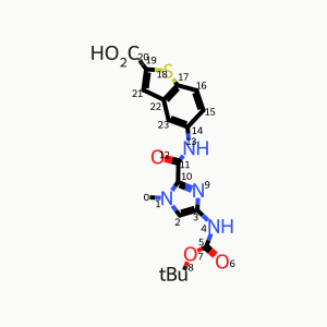 Cn1cc(NC(=O)OC(C)(C)C)nc1C(=O)Nc1ccc2sc(C(=O)O)cc2c1